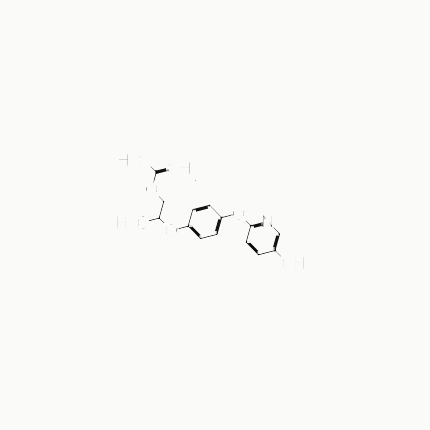 C=C(C)OCC(C)Oc1ccc(Oc2ccc(C)cn2)cc1